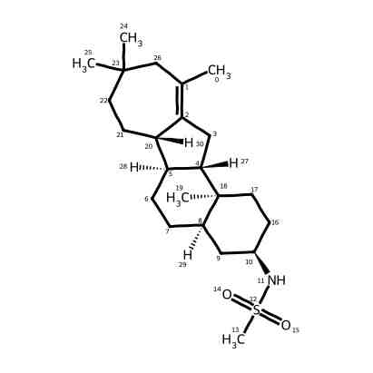 CC1=C2C[C@H]3[C@@H](CC[C@@H]4C[C@H](NS(C)(=O)=O)CC[C@@]43C)[C@@H]2CCC(C)(C)C1